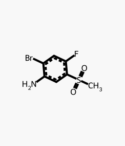 CS(=O)(=O)c1cc(N)c(Br)cc1F